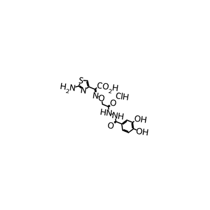 Cl.Nc1nc(/C(=N/OCC(=O)NNC(=O)c2ccc(O)c(O)c2)C(=O)O)cs1